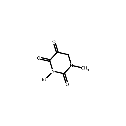 CCN1C(=O)C(=O)CN(C)C1=O